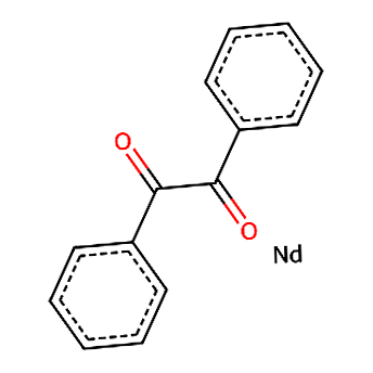 O=C(C(=O)c1ccccc1)c1ccccc1.[Nd]